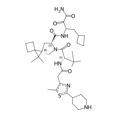 Cc1sc(C2CCNCC2)nc1CC(=O)N[C@H](C(=O)N1C[C@]2(C[C@H]1C(=O)NC(CC1CCC1)C(=O)C(N)=O)C(C)(C)C21CCC1)C(C)(C)C